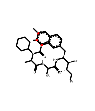 CCC(C)C(NC(=O)C(C)N(C(=O)N(C)C(C)N(C)C)C1CCCCC1)C(=O)N[C@@H](Cc1ccc2ccccc2c1)[C@@H](O)[C@@H](O)CC(C)C